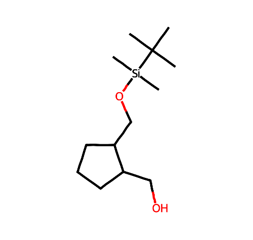 CC(C)(C)[Si](C)(C)OCC1CCCC1CO